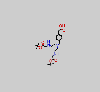 CC(C)(C)OC(=O)CNCCN(CCNCC(=O)OC(C)(C)C)Cc1ccc(CC(=O)O)cc1